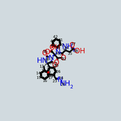 CC(=O)[C@@](C(=O)O)(N1C(=O)N[C@](Cc2ccccc2)(c2ccc(C=NN)cc2)C1=O)N(C(=O)[C@@H](N)CC(=O)O)c1ccccc1